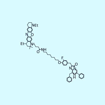 CCC1CC(C)(C)[N+](CCCC(=O)NCCCCCCCCOc2ccc(Cc3nc4c(Cc5ccccc5)[nH]c(-c5ccccc5)cn-4c3=O)cc2F)=c2cc3c(cc21)=Nc1cc2c(cc1O3)N(CC)CCC2